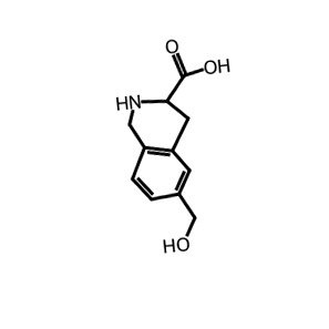 O=C(O)C1Cc2cc(CO)ccc2CN1